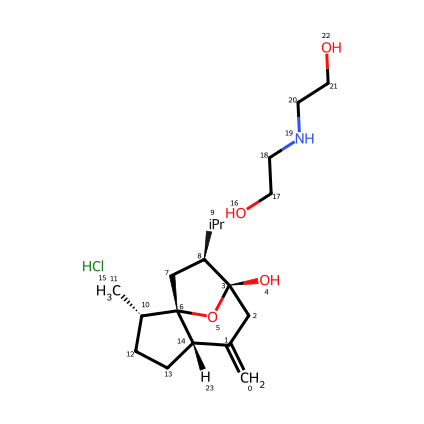 C=C1C[C@]2(O)O[C@@]3(C[C@H]2C(C)C)[C@@H](C)CC[C@@H]13.Cl.OCCNCCO